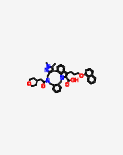 Cc1c2c(nn1C)CN(C(=O)CC1CCOCC1)Cc1ccccc1Cn1c(C(=O)O)c(CCCOc3cccc4ccccc34)c3cccc-2c31